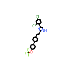 FC(F)(F)Oc1ccc(-c2ccc(C=Cc3nc(-c4ccc(Cl)cc4Cl)c[nH]3)cc2)cc1